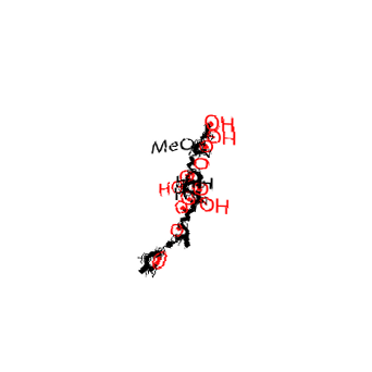 C=C1C[C@H](CCC(=O)CC2O[C@@H]3C(O[C@H]4CC[C@H](CC(=O)C[C@@H]5[C@@H](OC)[C@@H](C[C@H](O)CO)O[C@H]5C)O[C@@H]4[C@@H]3O)[C@H]2O)O[C@H]1CC[C@H]1C[C@@H](C)C(=C)[C@@H](C)O1